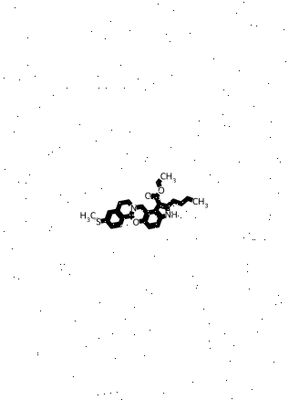 CCCCc1[nH]c2ccc3c(c2c1C(=O)OCC)CN1CCc2cc(SC)ccc2C1O3